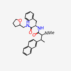 CNC(C(=O)N[C@H](Cc1ccccc1)C(=O)NCC1CCCO1)C(C)c1ccc2ccccc2c1